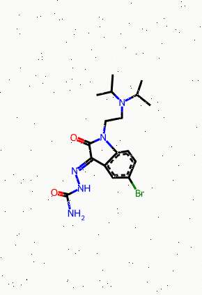 CC(C)N(CCN1C(=O)/C(=N/NC(N)=O)c2cc(Br)ccc21)C(C)C